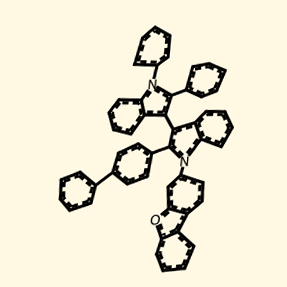 c1ccc(-c2ccc(-c3c(-c4c(-c5ccccc5)n(-c5ccccc5)c5ccccc45)c4ccccc4n3-c3ccc4c(c3)oc3ccccc34)cc2)cc1